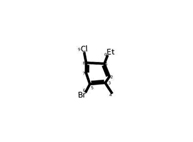 CCc1cc(C)c(Br)cc1Cl